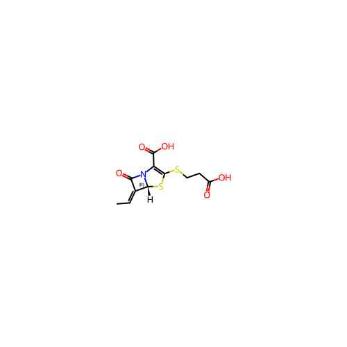 CC=C1C(=O)N2C(C(=O)O)=C(SCCC(=O)O)S[C@H]12